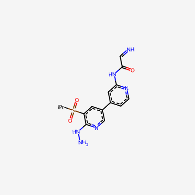 CC(C)S(=O)(=O)c1cc(-c2ccnc(NC(=O)C=N)c2)cnc1NN